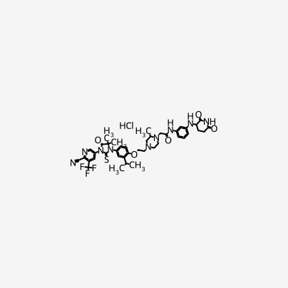 CC(C)c1cc(N2C(=S)N(c3cnc(C#N)c(C(F)(F)F)c3)C(=O)C2(C)C)ccc1OCCN1CCN(CC(=O)Nc2cccc(NC3CCC(=O)NC3=O)c2)C(C)C1.Cl